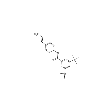 C[Si](C)(C)c1cc(C(=S)Nc2ccc(C=CC(=O)O)cn2)cc([Si](C)(C)C)c1